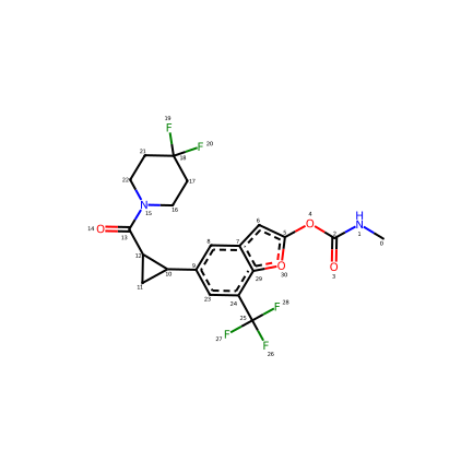 CNC(=O)Oc1cc2cc(C3CC3C(=O)N3CCC(F)(F)CC3)cc(C(F)(F)F)c2o1